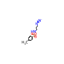 Cc1ccc(S(=O)(=O)ONCCCN=[N+]=[N-])cc1